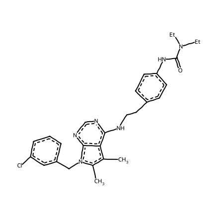 CCN(CC)C(=O)Nc1ccc(CCNc2ncnc3c2c(C)c(C)n3Cc2cccc(Cl)c2)cc1